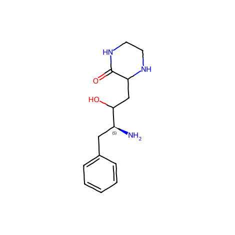 N[C@@H](Cc1ccccc1)C(O)CC1NCCNC1=O